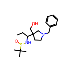 CCC(N[S+]([O-])C(C)(C)C)C1(CO)CCN(Cc2ccccc2)C1